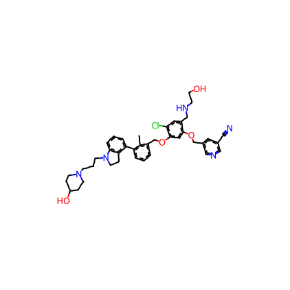 Cc1c(COc2cc(OCc3cncc(C#N)c3)c(CNCCO)cc2Cl)cccc1-c1cccc2c1CCN2CCCN1CCC(O)CC1